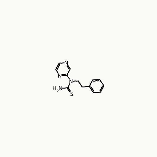 NC(=S)N(CCc1ccccc1)c1cnccn1